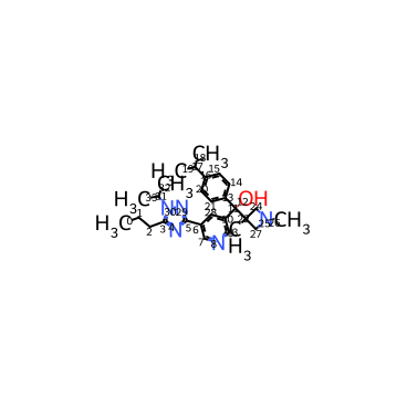 CCCc1nc(-c2cncc([C@@](O)(c3ccc(C(C)C)cc3)C3(C)CN(C)C3)c2)nn1C(C)C